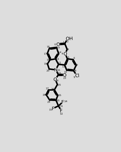 O=C(O)COc1ccc(Cl)cc1C1c2ccccc2CCN1C(=O)OCc1cccc(C(F)(F)F)c1